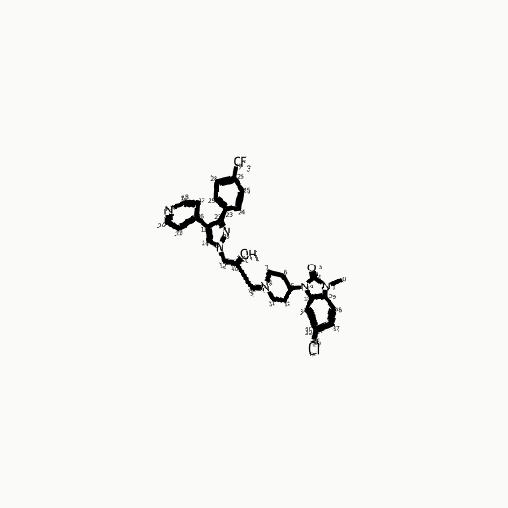 Cn1c(=O)n(C2CCN(CC(O)Cn3cc(-c4ccncc4)c(-c4ccc(C(F)(F)F)cc4)n3)CC2)c2cc(Cl)ccc21